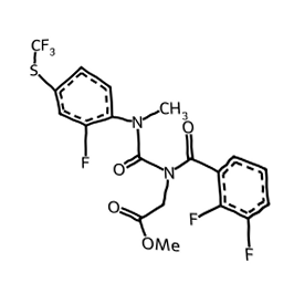 COC(=O)CN(C(=O)c1cccc(F)c1F)C(=O)N(C)c1ccc(SC(F)(F)F)cc1F